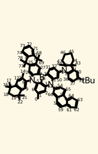 Cc1cc2c3c(c1)N(c1cc4c(cc1C)C(C)(C)CCC4(C)C)c1cc4c(cc1B3c1ccc(N3c5ccc(C(C)(C)C)cc5C5(C)CCCCC35C)cc1N2c1ccc2c(c#cc3ccccc32)c1)C(C)(C)c1ccccc1C4(C)C